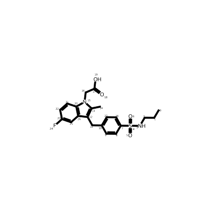 CCCNS(=O)(=O)c1ccc(Cc2c(C)n(CC(=O)O)c3ccc(F)cc23)cc1